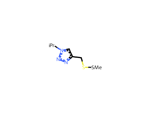 CSSCc1cn(C(C)C)nn1